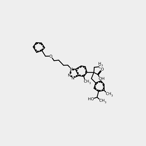 CCC(Cc1ccc(C)c(C(C)O)c1)(C(=O)O)c1ccc2c(nnn2CCCCOCc2ccccc2)c1C